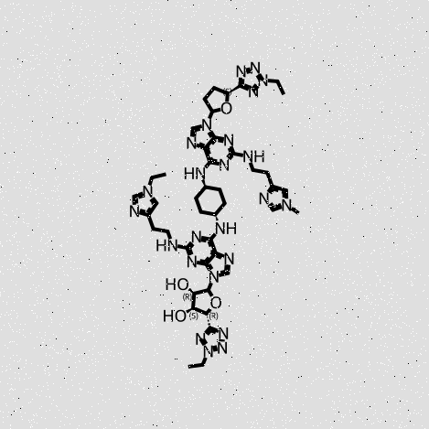 CCn1cnc(CCNc2nc(N[C@H]3CC[C@H](Nc4nc(NCCc5cn(C)cn5)nc5c4ncn5C4CC[C@@H](c5nnn(CC)n5)O4)CC3)c3ncn(C4O[C@H](c5nnn(CC)n5)[C@@H](O)[C@H]4O)c3n2)c1